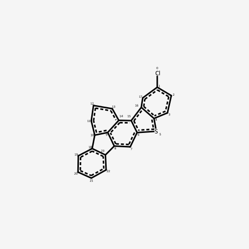 Clc1ccc2sc3cc4c5c(cccc5c3c2c1)-c1ccccc1-4